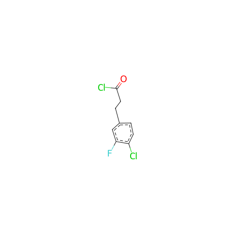 O=C(Cl)CCc1ccc(Cl)c(F)c1